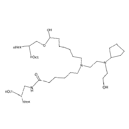 CCCCCCCCC(CCCCCC)CNC(=O)CCCCCN(CCCCCC(O)OCC(CCCCCC)CCCCCCCC)CCN(CCO)C1CCCC1